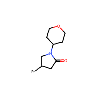 CC(C)C1CC(=O)N(C2CCOCC2)C1